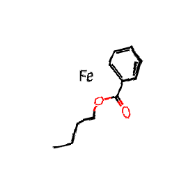 CCCCOC(=O)c1ccccc1.[Fe]